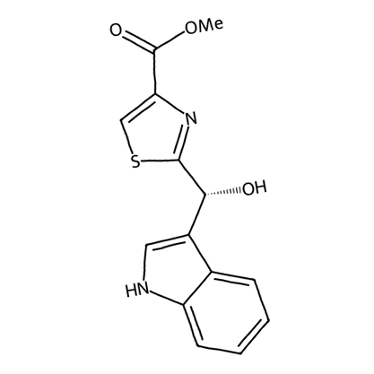 COC(=O)c1csc([C@H](O)c2c[nH]c3ccccc23)n1